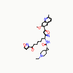 CCN1CCC2(CC1)C[C@@H]2C(=O)NC(CCCCCC(=O)c1ccon1)c1cc(-c2cc3ccc(C)nc3cc2OC)on1